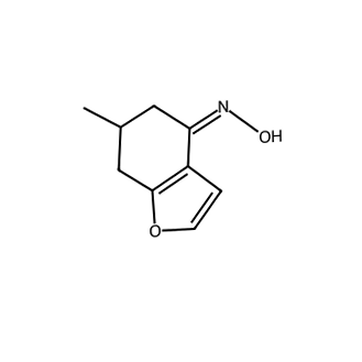 CC1C/C(=N/O)c2ccoc2C1